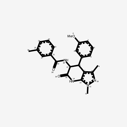 COc1cccc(C2c3c(C)nn(C)c3NC(=O)C2NC(=O)c2cccc(C)c2)c1